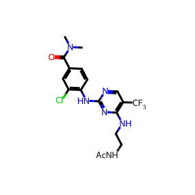 CC(=O)NCCNc1nc(Nc2ccc(C(=O)N(C)C)cc2Cl)ncc1C(F)(F)F